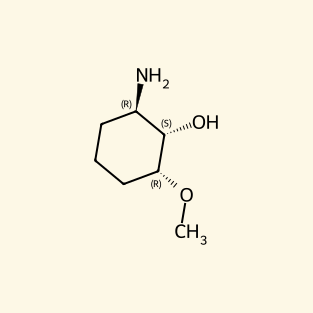 CO[C@@H]1CCC[C@@H](N)[C@@H]1O